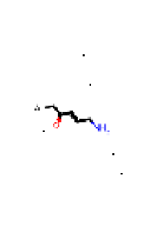 CC(=O)CC(=O)C=CCN